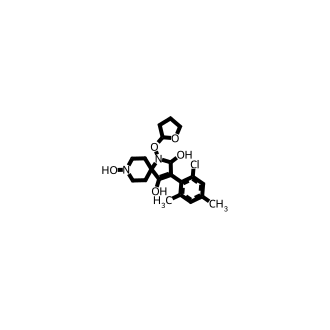 Cc1cc(C)c(C2=C(O)C3(CCN(O)CC3)N(OC3CCCO3)C2O)c(Cl)c1